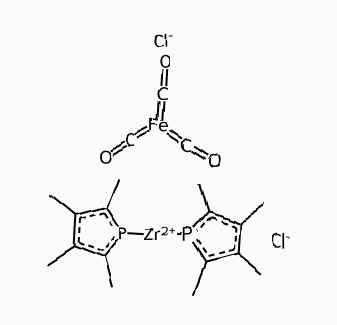 Cc1c(C)c(C)[p]([Zr+2][p]2c(C)c(C)c(C)c2C)c1C.O=[C]=[Fe](=[C]=O)=[C]=O.[Cl-].[Cl-]